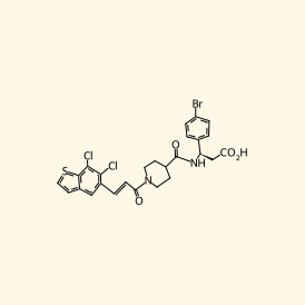 O=C(O)C[C@@H](NC(=O)C1CCN(C(=O)/C=C/c2cc3ccsc3c(Cl)c2Cl)CC1)c1ccc(Br)cc1